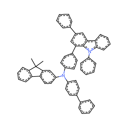 CC1(C)c2ccccc2-c2ccc(N(c3ccc(-c4ccccc4)cc3)c3ccc(-c4cc(-c5ccccc5)cc5c6ccccc6n(-c6ccccc6)c45)cc3)cc21